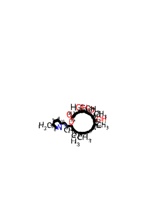 C/C(=C\c1ccc(C)cn1)C1CC(C)[C@@H](C)CCC[C@H](C)[C@H](O)[C@@H](C)C(=O)C(C)(C)[C@@H](O)CC(=O)O1